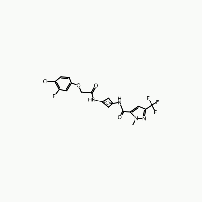 Cn1nc(C(F)(F)F)cc1C(=O)NC12CC(NC(=O)COc3ccc(Cl)c(F)c3)(C1)C2